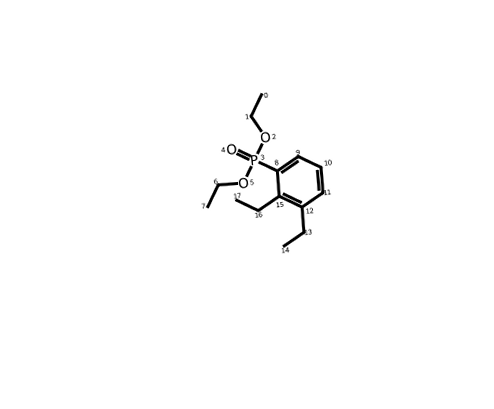 CCOP(=O)(OCC)c1cccc(CC)c1CC